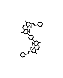 Cc1cc(C=Cc2ccccc2)nc2c1ccc1c(C)cc(-c3ccc(-c4cc(C)c5ccc6c(C)cc(/C=C/c7ccccc7)nc6c5n4)cc3)nc12